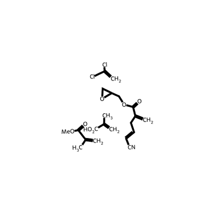 C=C(C)C(=O)O.C=C(C)C(=O)OC.C=C(CC=CC#N)C(=O)OCC1CO1.C=C(Cl)Cl